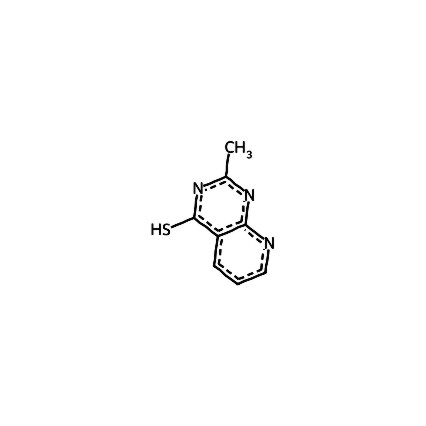 Cc1nc(S)c2cccnc2n1